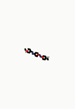 CC[n+]1ccc(/C=C/c2ccc(/C=C/c3cc[n+](CC)cc3)cc2)cc1